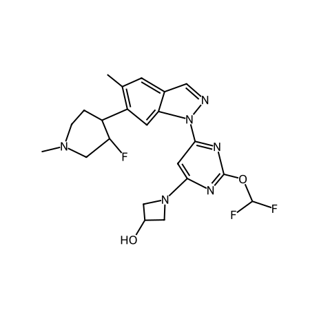 Cc1cc2cnn(-c3cc(N4CC(O)C4)nc(OC(F)F)n3)c2cc1C1CCN(C)CC1F